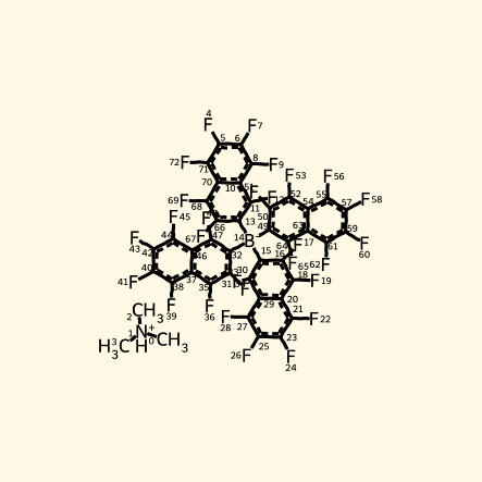 C[NH+](C)C.Fc1c(F)c(F)c2c(F)c([B-](c3c(F)c(F)c4c(F)c(F)c(F)c(F)c4c3F)(c3c(F)c(F)c4c(F)c(F)c(F)c(F)c4c3F)c3c(F)c(F)c4c(F)c(F)c(F)c(F)c4c3F)c(F)c(F)c2c1F